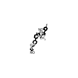 CCc1nc2ccc(C3CCN(CC(=O)N4CC(N=O)C4)CC3)cn2c1N(C)c1nc(-c2ccc(F)cc2C#N)cs1